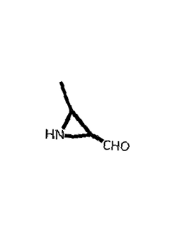 CC1NC1C=O